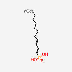 CCCCCCCCCCCCCCC=CC=CP(=O)(O)O